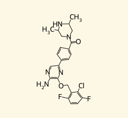 CC1CN(C(=O)c2ccc(-c3cnc(N)c(OCc4c(F)ccc(F)c4Cl)n3)cc2)CC(C)N1